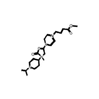 COC(=O)CCCN1CCN(C2C[N+](C)(C3CCN(C(C)C)CC3)C(=O)O2)CC1